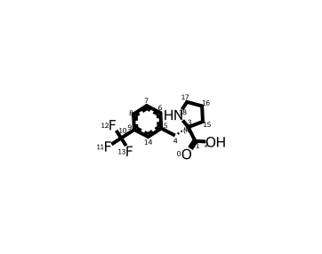 O=C(O)[C@]1(Cc2cccc(C(F)(F)F)c2)CCCN1